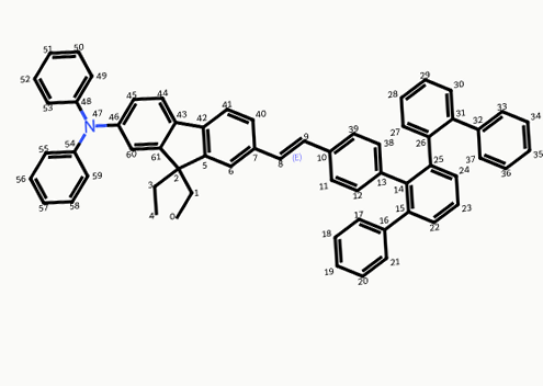 CCC1(CC)c2cc(/C=C/c3ccc(-c4c(-c5ccccc5)cccc4-c4ccccc4-c4ccccc4)cc3)ccc2-c2ccc(N(c3ccccc3)c3ccccc3)cc21